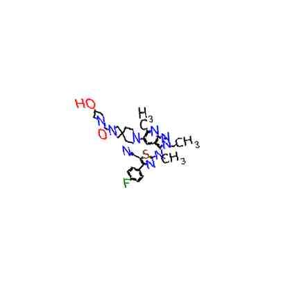 CCn1nc2nc(C)c(N3CCC4(CC3)CN(C(=O)N3CC(O)C3)C4)cc2c1N(C)c1nc(-c2ccc(F)cc2)c(C#N)s1